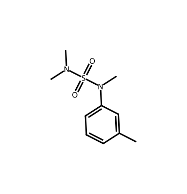 Cc1cccc(N(C)S(=O)(=O)N(C)C)c1